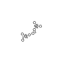 c1ccc(Sc2cnc(-c3ccc(-c4ccc5sc6cc(-c7nc(-c8ccccc8)nc(-c8ccccc8)n7)ccc6c5c4)cc3)nc2-c2ccccc2)cc1